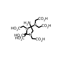 NC(CN(CC(=O)O)CC(=O)O)(N(CC(=O)O)CC(=O)O)N(CC(=O)O)CC(=O)O